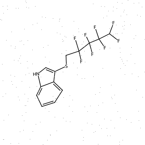 FC(F)C(F)(F)C(F)(F)C(F)(F)CSc1c[nH]c2ccccc12